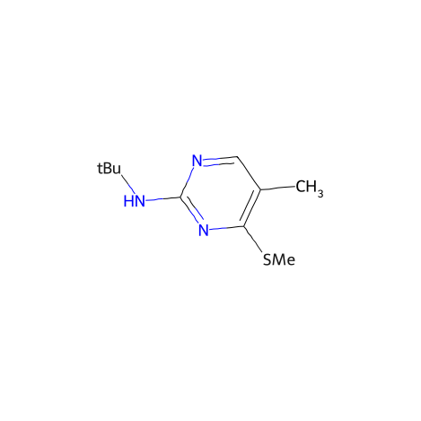 CSc1nc(NC(C)(C)C)ncc1C